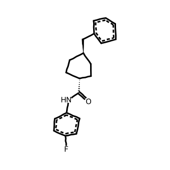 O=C(Nc1ccc(F)cc1)[C@H]1CC[C@H](Cc2ccccc2)CC1